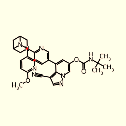 COc1ccc(CN2C3CC2CN(c2ccc(-c4cc(OC(=O)NC(C)(C)C)cn5ncc(C#N)c45)cn2)C3)cn1